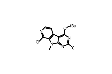 Cn1c2nc(Cl)nc(OC(C)(C)C)c2c2ccnc(Cl)c21